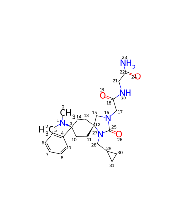 CN(C)[C@]1(c2ccccc2)CC[C@@]2(CC1)CN(CC(=O)NCC(N)=O)C(=O)N2CC1CC1